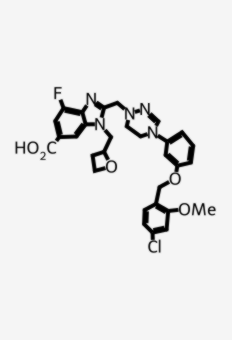 COc1cc(Cl)ccc1COc1cccc(N2C=NN(Cc3nc4c(F)cc(C(=O)O)cc4n3CC3CCO3)CC2)c1